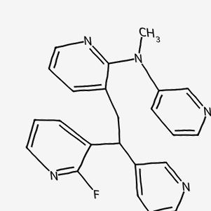 CN(c1cccnc1)c1ncccc1CC(c1cccnc1)c1cccnc1F